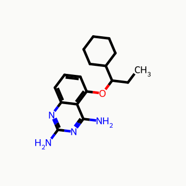 CCC(Oc1cccc2nc(N)nc(N)c12)C1CCCCC1